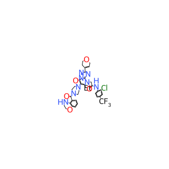 CCc1c(N2CCN(C(=O)c3cccc4c3NCCO4)CC2)c(=O)n2nc(C3=CCOCC3)nc2n1CC(=O)Nc1ccc(C(F)(F)F)cc1Cl